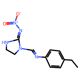 CCc1ccc(/N=C/N2CCN/C2=N\[N+](=O)[O-])cc1